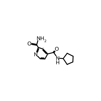 NC(=O)c1[c]c(C(=O)NC2CCCC2)ccn1